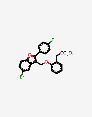 CCOC(=O)Cc1ccccc1OCc1c(-c2ccc(F)cc2)oc2ccc(Br)cc12